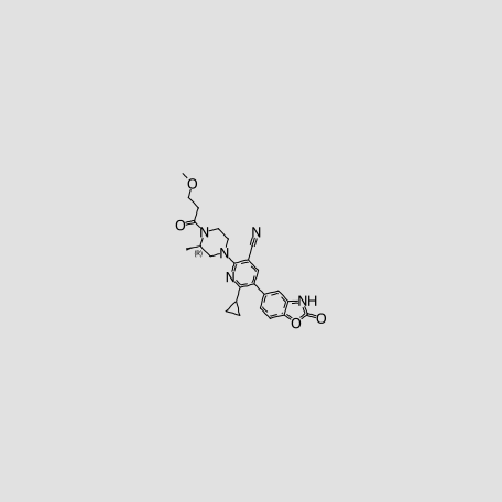 COCCC(=O)N1CCN(c2nc(C3CC3)c(-c3ccc4oc(=O)[nH]c4c3)cc2C#N)C[C@H]1C